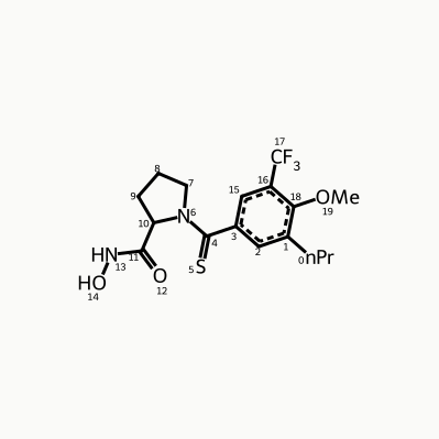 CCCc1cc(C(=S)N2CCCC2C(=O)NO)cc(C(F)(F)F)c1OC